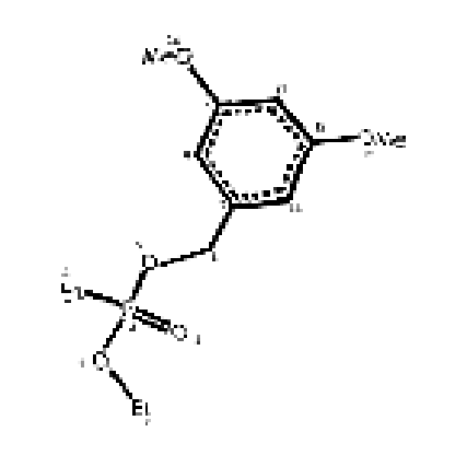 CCOP(=O)(CC)OCc1cc(OC)cc(OC)c1